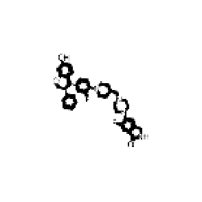 O=C1NCc2cc(N3CCN(CC4CCN(c5ccc([C@@H]6c7ccc(O)cc7OC[C@@H]6c6ccccc6)cc5F)CC4)CC3)c(F)cc21